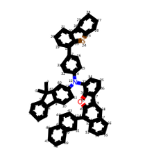 CC1(C)c2ccccc2-c2ccc(N(c3ccc(-c4cccc5c4sc4ccccc45)cc3)c3cccc4c3oc3c(-c5ccc6ccccc6c5)c5ccccc5cc34)cc21